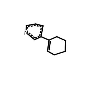 C1=C(c2cccnc2)CCCC1